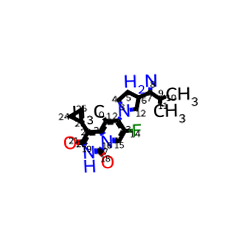 Cc1c(N2CCC(C(N)C(C)C)C2)c(F)cn2c(=O)[nH]c(=O)c(C3CC3)c12